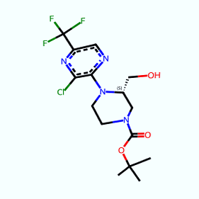 CC(C)(C)OC(=O)N1CCN(c2ncc(C(F)(F)F)nc2Cl)[C@H](CO)C1